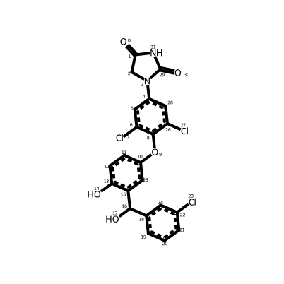 O=C1CN(c2cc(Cl)c(Oc3ccc(O)c(C(O)c4cccc(Cl)c4)c3)c(Cl)c2)C(=O)N1